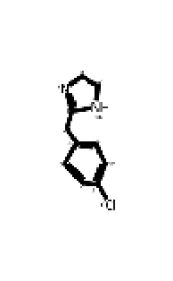 Clc1ccc(CC2=NCCN2)cc1